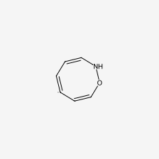 [c]1ccc[nH]occ1